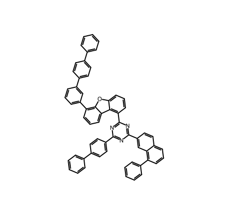 c1ccc(-c2ccc(-c3cccc(-c4cccc5c4oc4cccc(-c6nc(-c7ccc(-c8ccccc8)cc7)nc(-c7ccc8cccc(-c9ccccc9)c8c7)n6)c45)c3)cc2)cc1